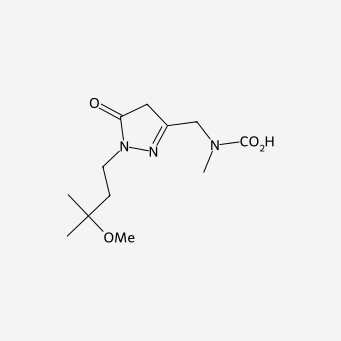 COC(C)(C)CCN1N=C(CN(C)C(=O)O)CC1=O